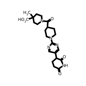 CC1(C(=O)O)CCN(C(=O)C2CCN(c3ncc(C4CCC(=O)NC4=O)cn3)CC2)CC1